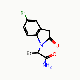 CCC(C(N)=O)N1C(=O)Cc2cc(Br)ccc21